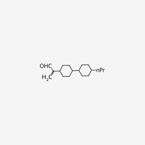 C=C(C=O)C1CCC(C2CCC(CCC)CC2)CC1